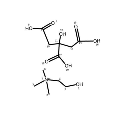 C[N+](C)(C)CCO.O=C(O)CC(O)(CC(=O)O)C(=O)O